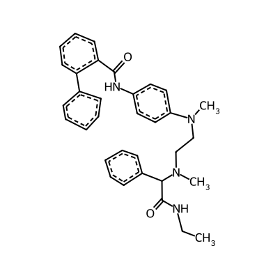 CCNC(=O)C(c1ccccc1)N(C)CCN(C)c1ccc(NC(=O)c2ccccc2-c2ccccc2)cc1